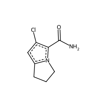 NC(=O)c1c(Cl)cc2n1CCC2